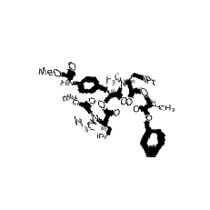 COC(=O)Nc1ccc(C[C@@H](OC(=O)[C@@H](CC(C)C)N(C)C(=O)OC(C)(C)C)C(=O)N(C)[C@H](CC(C)C)C(=O)O[C@H](C)C(=O)OCc2ccccc2)cc1